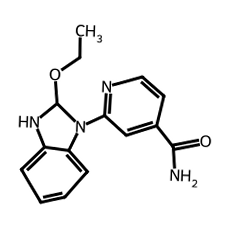 CCOC1Nc2ccccc2N1c1cc(C(N)=O)ccn1